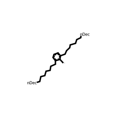 [CH2]c1c(CCCCCCCCCCCCCCCCC)cccc1CCCCCCCCCCCCCCCCC